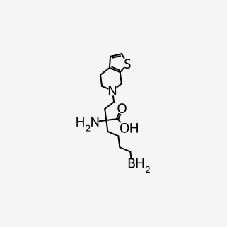 BCCCCC(N)(CCN1CCc2ccsc2C1)C(=O)O